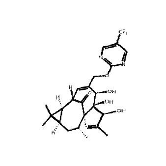 CC1=C[C@]23C(=O)[C@@H](C=C(COc4ncc(C(F)(F)F)cn4)[C@@H](O)[C@]2(O)[C@H]1O)[C@H]1[C@@H](C[C@H]3C)C1(C)C